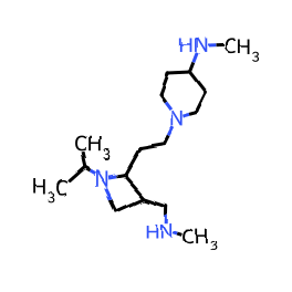 CNCC1CN(C(C)C)C1CCN1CCC(NC)CC1